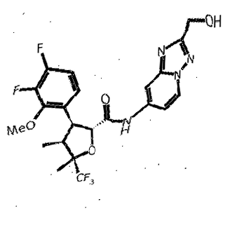 COc1c([C@H]2[C@H](C(=O)Nc3ccn4nc(CO)nc4c3)O[C@@](C)(C(F)(F)F)[C@H]2C)ccc(F)c1F